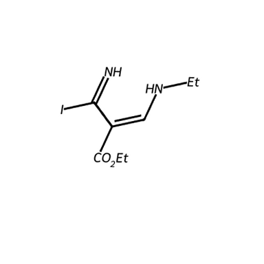 CCN/C=C(\C(=N)I)C(=O)OCC